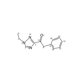 CCn1cnc(C(=O)Cc2ccccc2)n1